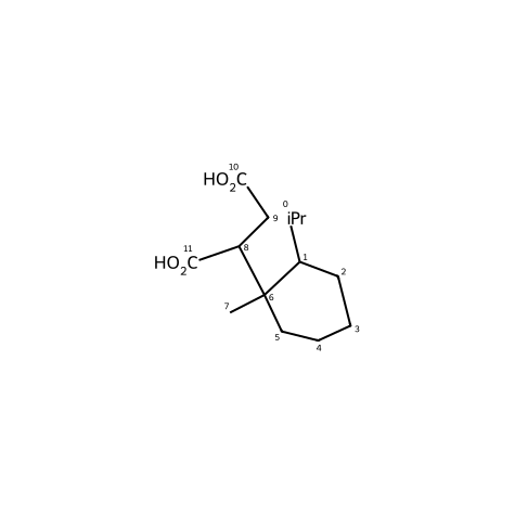 CC(C)C1CCCCC1(C)C(CC(=O)O)C(=O)O